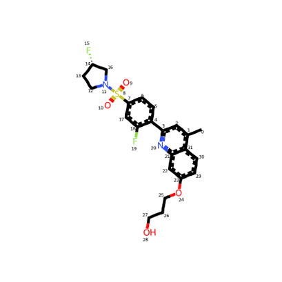 Cc1cc(-c2ccc(S(=O)(=O)N3CC[C@H](F)C3)cc2F)nc2cc(OCCCO)ccc12